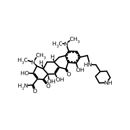 CN(C)c1cc(CNCC2CCNCC2)c(O)c2c1C[C@H]1C[C@H]3C(N(C)C)C(O)=C(C(N)=O)C(=O)[C@@]3(O)C(O)=C1C2=O